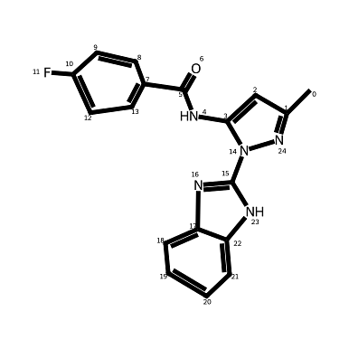 Cc1cc(NC(=O)c2ccc(F)cc2)n(-c2nc3ccccc3[nH]2)n1